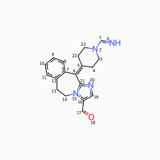 N=CN1CCC(=C2c3ccccc3CCn3c(C=O)cnc32)CC1